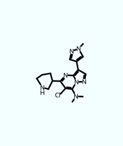 CN(C)c1c(Cl)c(C2CCCNC2)nc2c(-c3cnn(C)c3)cnn12